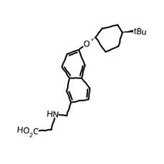 CC(C)(C)[C@H]1CC[C@H](Oc2ccc3cc(CNCC(=O)O)ccc3c2)CC1